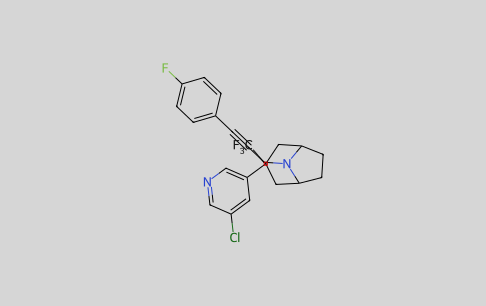 Fc1ccc(C#CC2(c3cncc(Cl)c3)CC3CCC(C2)N3CC(F)(F)F)cc1